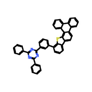 c1ccc(-c2nc(-c3ccccc3)nc(-c3cccc(-c4cccc5c4sc4c5ccc5c6ccccc6c6ccccc6c54)c3)n2)cc1